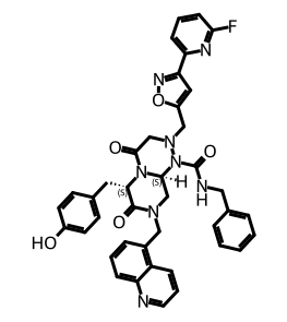 O=C1[C@H](Cc2ccc(O)cc2)N2C(=O)CN(Cc3cc(-c4cccc(F)n4)no3)N(C(=O)NCc3ccccc3)[C@H]2CN1Cc1cccc2ncccc12